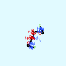 NC(=O)N[C@@H](CCC(=O)O[C@@H](CCCCNC(=O)Nc1ccccc1-c1cn(CCF)nn1)C(=O)O)C(=O)O[C@@H](CCCCNC(=O)Nc1ccccc1-c1cn(CCF)nn1)C(=O)O